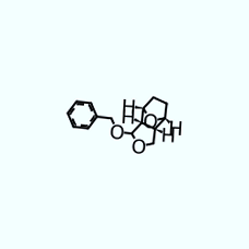 c1ccc(COC2OC[C@@H]3[C@H]2[C@@H]2CC[C@H]3O2)cc1